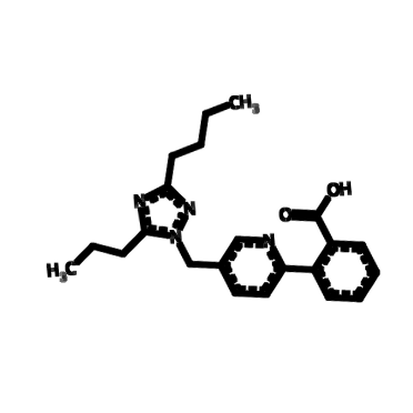 CCCCc1nc(CCC)n(Cc2ccc(-c3ccccc3C(=O)O)nc2)n1